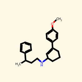 COc1ccc(C2=CC(NCCC(C)c3ccccc3)CCC2)cc1